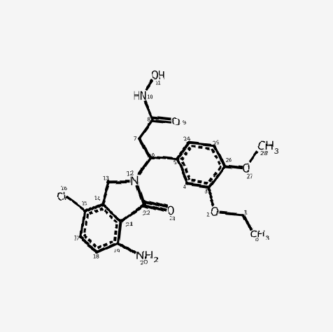 CCOc1cc(C(CC(=O)NO)N2Cc3c(Cl)ccc(N)c3C2=O)ccc1OC